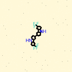 FC(F)(F)c1ccc2[nH]c3ccc(-c4ccc5[nH]c6ccc(C(F)(F)F)cc6c5c4)cc3c2c1